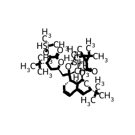 C[SiH](C)OC1C(=O)O[C@@H](C[C@](C)(O[SiH](C)C)[C@H]2CC=CC3=C[C@@H](C(C)(C)C)C[C@H](OC(=O)C4C(C)(C)C4(C)C)[C@@H]32)C[C@@H]1C(C)(C)C